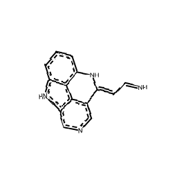 N=C/C=C1\Nc2cccc3[nH]c4cncc1c4c23